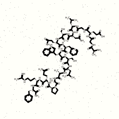 CC(C)C[C@H](NC(=O)CNC(=O)[C@H](CCC(=O)O)NC(=O)CNC(=O)[C@H](C)N)C(=O)N[C@@H](CC(N)=O)C(=O)N[C@@H](CO)C(=O)N[C@@H](CCC(N)=O)C(=O)N[C@@H](Cc1ccccc1)C(=O)N[C@@H](Cc1c[nH]c2ccccc12)C(=O)N[C@@H](CO)C(=O)N[C@@H](CC(C)C)C(=O)N[C@@H](C)C(=O)N[C@@H](C)C(=O)N1CCC[C@H]1C(=O)N[C@@H](CCC(N)=O)C(=O)N[C@@H](CCCNC(=N)N)C(=O)N[C@@H](Cc1ccccc1)C(N)=O